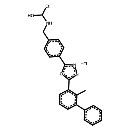 CCC(O)NCc1ccc(-c2nnc(-c3cccc(-c4ccccc4)c3C)o2)cc1.Cl